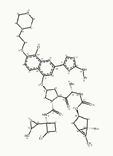 CCC1CC[C@]1(NC(=O)[C@@H]1C[C@@H](Oc2cc(-c3csc(NC(C)C)n3)nc3c(Cl)c(OCCN4CCOCC4)ccc23)CN1C(=O)[C@@H](NC(=O)O[C@@H]1CC2=C(C)[C@@H]2C1)C(C)(C)C)C1OC1O